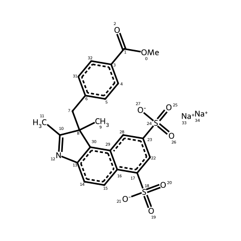 COC(=O)c1ccc(CC2(C)C(C)=Nc3ccc4c(S(=O)(=O)[O-])cc(S(=O)(=O)[O-])cc4c32)cc1.[Na+].[Na+]